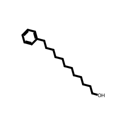 OCCCCCCCCCCCCc1[c]cccc1